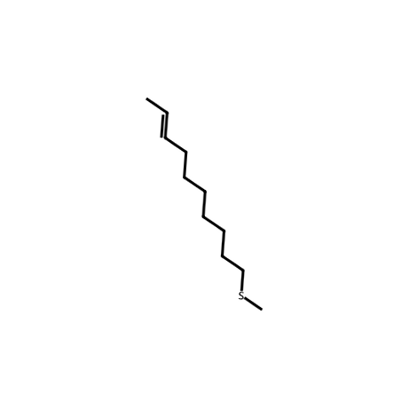 CC=CCCCCCCCSC